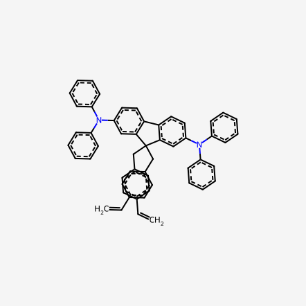 C=Cc1ccc(CC2(Cc3ccc(C=C)cc3)c3cc(N(c4ccccc4)c4ccccc4)ccc3-c3ccc(N(c4ccccc4)c4ccccc4)cc32)cc1